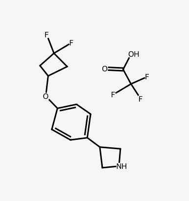 FC1(F)CC(Oc2ccc(C3CNC3)cc2)C1.O=C(O)C(F)(F)F